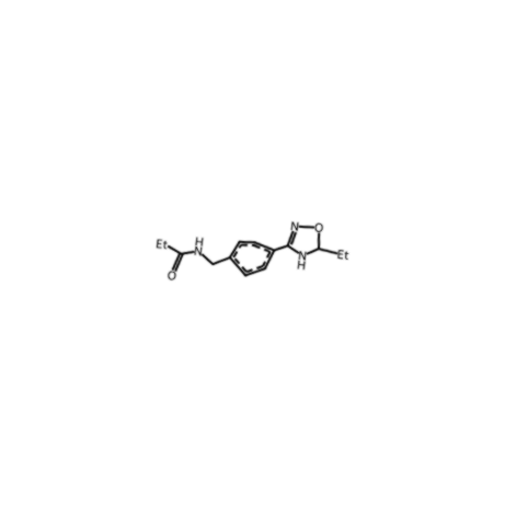 CCC(=O)NCc1ccc(C2=NOC(CC)N2)cc1